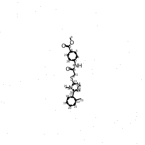 COC(=O)c1ccc(NC(=O)CSc2nnc(-c3ccccc3C)n2C)cc1